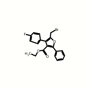 CCOC(=O)c1c(-c2ccccc2)oc(CBr)c1-c1ccc(F)cc1